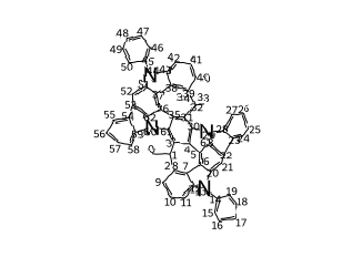 CC(C)c1c2c3c4c5ccccc5n(-c5ccccc5)c4cc4c5ccccc5n(c2c(C(C)C)c2c5c6c7ccccc7n(-c7ccccc7)c6cc6c7ccccc7n(c12)c65)c43